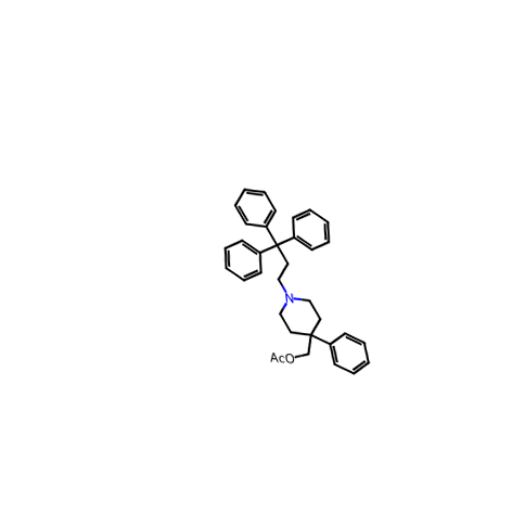 CC(=O)OCC1(c2ccccc2)CCN(CCC(c2ccccc2)(c2ccccc2)c2ccccc2)CC1